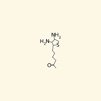 CC(=O)CCCCC1SCC(N)C1N